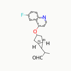 CC(C=O)C1[C@H]2CC(Oc3ccnc4ccc(F)cc34)C[C@@H]12